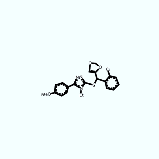 CCn1c(SC(C2=COCO2)c2ccccc2Cl)nnc1-c1ccc(OC)cc1